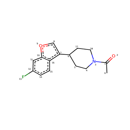 CC(=O)N1CCC(c2coc3cc(F)ccc23)CC1